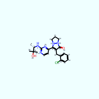 C[C@H](Nc1nccc(-c2c(Cc3ccccc3Cl)c(=O)n3n2CCC3)n1)C(C)(C)O